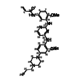 C=CC(=O)Nc1ccc(OC)c(Nc2nccc(Nc3ccc(N4CCN(CCF)CC4)cc3OC)n2)c1